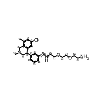 Cc1cc(Cl)cc2c1CN(C)CC2c1cccc(SNCCOCCOCCN)c1